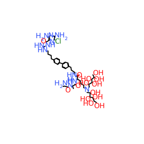 CC(N)C(=O)NC(C)C(=O)NC(CCCCN(C[C@H](O)[C@@H](O)[C@H](O)[C@H](O)CO)C[C@H](O)[C@@H](O)[C@H](O)[C@H](O)CO)C(=O)NCCCc1ccc(-c2ccc(CCCCNC(=N)NC(=O)c3nc(Cl)c(N)nc3N)cc2)cc1